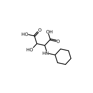 O=C(O)C(O)C(NC1CCCCC1)C(=O)O